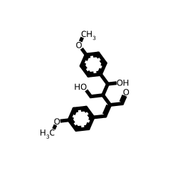 COc1ccc(/C=C(/C=O)C(CO)C(O)c2ccc(OC)cc2)cc1